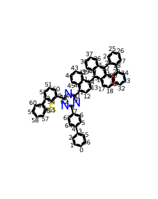 c1ccc(-c2ccc(-c3nc(-c4ccc(-c5c6ccccc6c(-c6ccccc6-c6ccccc6)c6ccccc56)c5ccccc45)nc(-c4cccc5c4sc4ccccc45)n3)cc2)cc1